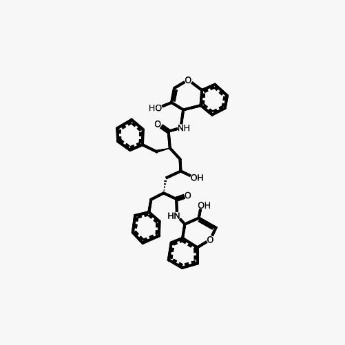 O=C(NC1C(O)=COc2ccccc21)[C@H](Cc1ccccc1)CC(O)C[C@@H](Cc1ccccc1)C(=O)NC1C(O)=COc2ccccc21